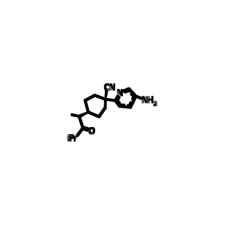 CC(C)C(=O)C(C)[C@H]1CC[C@](C#N)(c2ccc(N)cn2)CC1